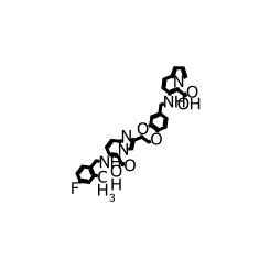 Cc1cc(F)ccc1CNc1ccc2nc(C3COc4ccc(CNc5ccc6cccn6c5C(=O)O)cc4O3)cn2c1C(=O)O